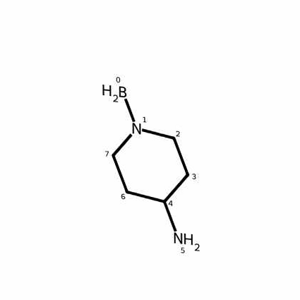 BN1CCC(N)CC1